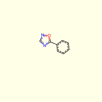 [c]1ccc(-c2ncno2)cc1